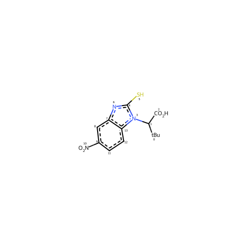 CC(C)(C)C(C(=O)O)n1c(S)nc2cc([N+](=O)[O-])ccc21